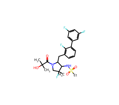 CCS(=O)(=O)NC1C(Cc2cccc(-c3cc(F)cc(F)c3)c2F)N(C(=O)C(C)(C)O)CC1(C)F